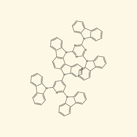 c1ccc2c(c1)c1ccccc1n2-c1cc(-n2c3ccccc3c3c2ccc2c4ccccc4n(-c4nc(-n5c6ccccc6c6ccccc65)nc(-n5c6ccccc6c6ccccc65)n4)c23)cc(-n2c3ccccc3c3ccccc32)n1